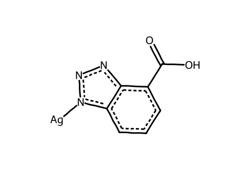 O=C(O)c1cccc2c1nn[n]2[Ag]